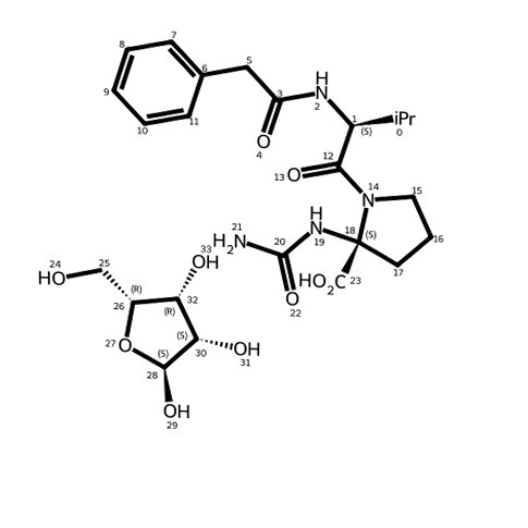 CC(C)[C@H](NC(=O)Cc1ccccc1)C(=O)N1CCC[C@@]1(NC(N)=O)C(=O)O.OC[C@H]1O[C@H](O)[C@@H](O)[C@H]1O